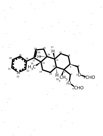 C[C@]1(COC=O)[C@H](COC=O)CC[C@@H]2[C@@H]1CC[C@]1(C)C(c3cccnc3)=CC[C@@H]21